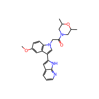 COc1ccc2c(c1)c(-c1cc3cccnc3[nH]1)cn2CC(=O)N1CC(C)OC(C)C1